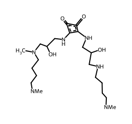 CNCCCCNCC(O)CNc1c(NCC(O)CN(C)CCCCNC)c(=O)c1=O